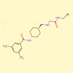 CC(C)CNC(=O)CNC[C@H]1CC[C@H](NC(=O)c2cc(C(F)(F)F)cc(C(F)(F)F)c2)CC1